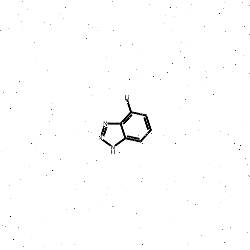 [Li][c]1cccc2[nH]nnc12